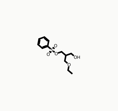 CCOCC(CO)COS(=O)(=O)c1ccccc1